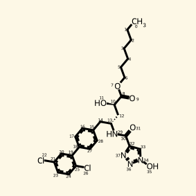 CCCCCCCOC(=O)[C@H](O)C[C@@H](Cc1ccc(-c2cc(Cl)ccc2Cl)cc1)NC(=O)c1cn(O)nn1